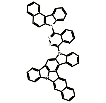 c1ccc2cc3c(cc2c1)c1c2c4ccccc4n(-c4nnc(-n5c6ccccc6c6c7ccccc7ccc65)c5ccccc45)c2cc2c4ccccc4n3c21